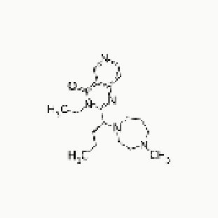 CCC[C@@H](c1nc2ccncc2c(=O)n1CC)N1CCCN(C)CC1